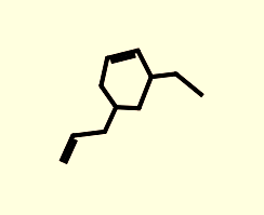 C=CCC1CC=CC(CC)C1